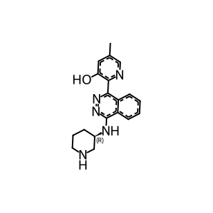 Cc1cnc(-c2nnc(N[C@@H]3CCCNC3)c3ccccc23)c(O)c1